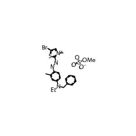 CCN(Cc1ccccc1)c1ccc(N=Nc2sc(Br)c[n+]2C)c(C)c1.COS(=O)(=O)[O-]